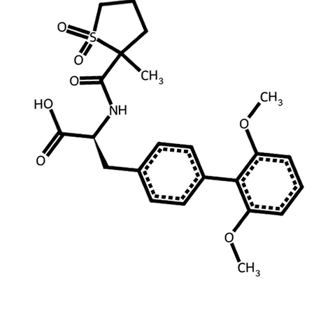 COc1cccc(OC)c1-c1ccc(C[C@H](NC(=O)C2(C)CCCS2(=O)=O)C(=O)O)cc1